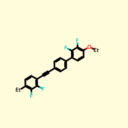 CCOc1ccc(-c2ccc(C#Cc3ccc(CC)c(F)c3F)cc2)c(F)c1F